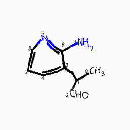 CC(C=O)c1cccnc1N